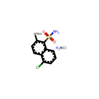 CCCCCCc1ccc2c(Cl)cccc2c1S(N)(=O)=O.Cl.N